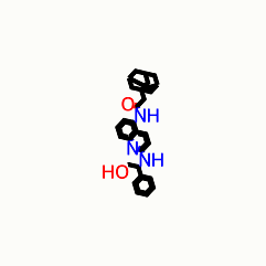 O=C(CC12CC3CC(CC(C3)C1)C2)Nc1cccc2nc(NC(CO)c3ccccc3)ccc12